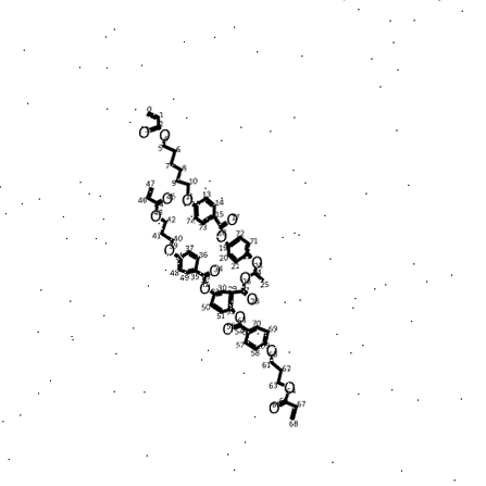 C=CC(=O)OCCCCCCOc1ccc(C(=O)Oc2ccc(OC(C)OC(=O)c3cc(OC(=O)c4ccc(OCCCOC(=O)C=C)cc4)ccc3OC(=O)c3ccc(OCCCOC(=O)C=C)cc3)cc2)cc1